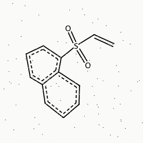 C=CS(=O)(=O)c1cccc2ccccc12